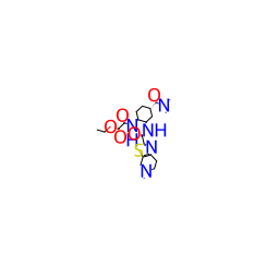 CCOC(=O)C(=O)N[C@H]1CC[C@H](C(=O)N(C)C)C[C@H]1NC(=O)c1nc2c(s1)CN(C)CC2